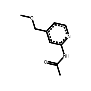 COCc1ccnc(NC(C)=O)c1